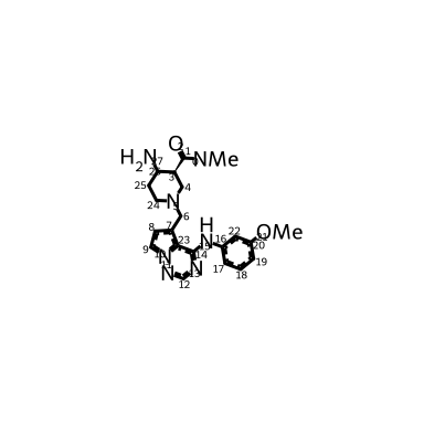 CNC(=O)[C@H]1CN(Cc2ccn3ncnc(Nc4cccc(OC)c4)c23)CCC1N